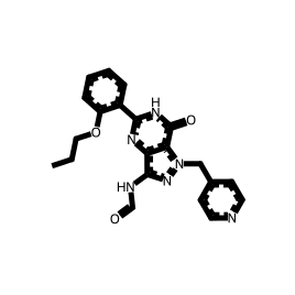 CCCOc1ccccc1-c1nc2c(NC=O)nn(Cc3ccncc3)c2c(=O)[nH]1